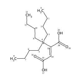 CCCC[Si](CCCC)(CCCC)/C(=C\C(=O)O)C(=O)O